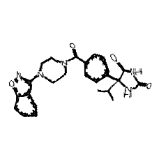 CC(C)[C@]1(c2ccc(C(=O)N3CCN(c4noc5ccccc45)CC3)cc2)NC(=O)NC1=O